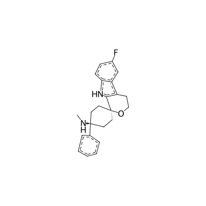 CN[C@]1(c2ccccc2)CC[C@@]2(CC1)OCCc1c3cc(F)ccc3[nH]c12